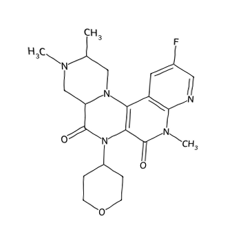 CC1CN2c3c(c(=O)n(C)c4ncc(F)cc34)N(C3CCOCC3)C(=O)C2CN1C